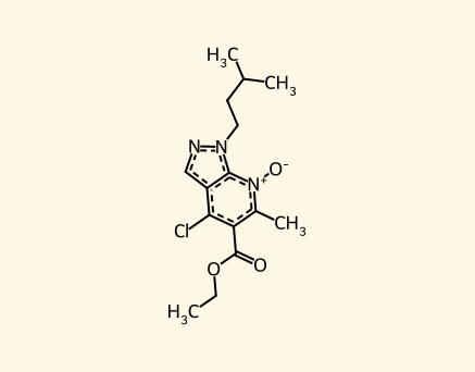 CCOC(=O)c1c(Cl)c2cnn(CCC(C)C)c2[n+]([O-])c1C